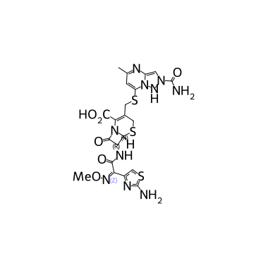 CO/N=C(\C(=O)N[C@@H]1C(=O)N2C(C(=O)O)=C(CSC3=CC(C)=NC4=CN(C(N)=O)NN43)CS[C@H]12)c1csc(N)n1